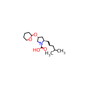 CC(C)C/C=C/[C@@H]1C[C@@H](OC2CCCCO2)CN1C(=O)O